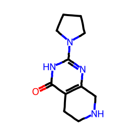 O=c1[nH]c(N2CCCC2)nc2c1CCNC2